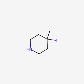 CC1(I)CCNCC1